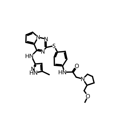 COCC1CCCN1CC(=O)Nc1ccc(Sc2nc(Nc3cc(C)[nH]n3)c3cccn3n2)cc1